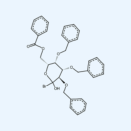 O=C(OC[C@H]1OC(O)(Br)[C@H](OCc2ccccc2)[C@@H](OCc2ccccc2)[C@H]1OCc1ccccc1)c1ccccc1